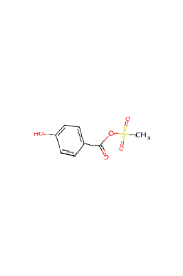 CS(=O)(=O)OC(=O)c1ccc(O)cc1